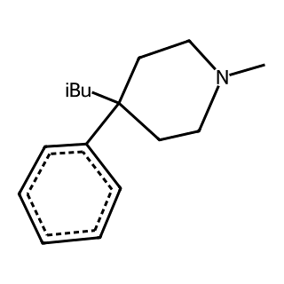 CCC(C)C1(c2ccccc2)CCN(C)CC1